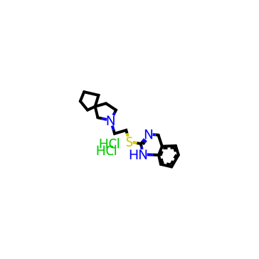 Cl.Cl.c1ccc2c(c1)CN=C(SCCN1CCC3(CCCC3)C1)N2